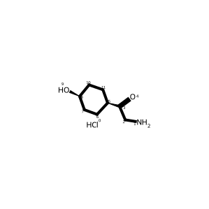 Cl.NCC(=O)[C@H]1CC[C@@H](O)CC1